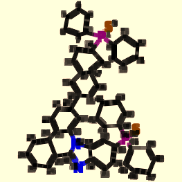 S=P(c1ccccc1)(c1ccccc1)c1ccc2cc(-c3ccc4c5ccccc5c5nc6ccc(P(=S)(c7ccccc7)c7ccccc7)cc6n5c4c3)ccc2c1